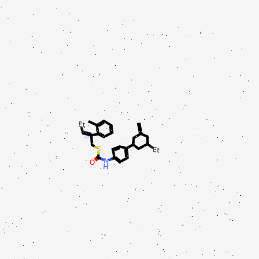 C=C1CC(CC)CC(c2ccc(NC(=O)SC/C(=C/CC)c3ccccc3C)cc2)C1